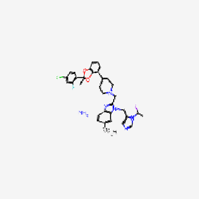 CC(I)n1cncc1Cn1c(CN2CCC(c3cccc4c3OC(C)(c3ccc(Cl)cc3F)O4)CC2)nc2ccc(C(=O)O)cc21.N